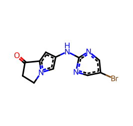 O=C1CCn2cc(Nc3ncc(Br)cn3)cc21